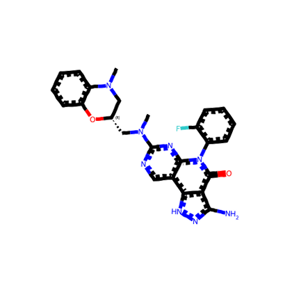 CN(C[C@H]1CN(C)c2ccccc2O1)c1ncc2c3[nH]nc(N)c3c(=O)n(-c3ccccc3F)c2n1